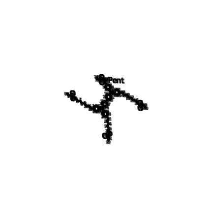 C=CC(=O)OCCCCCCCCc1ccc(N(c2ccc(CCCCCCOC(=O)C=C)cc2)c2ccc(-c3ccc(N(c4ccc(CCCCCCCCOC(=O)C=C)cc4)c4ccc(C(CCCCC)OC(=O)C=C)cc4)cc3)cc2)cc1